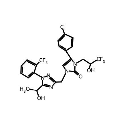 C[C@H](O)c1nc(Cn2cc(-c3ccc(Cl)cc3)n(CC(O)C(F)(F)F)c2=O)nn1-c1ccccc1C(F)(F)F